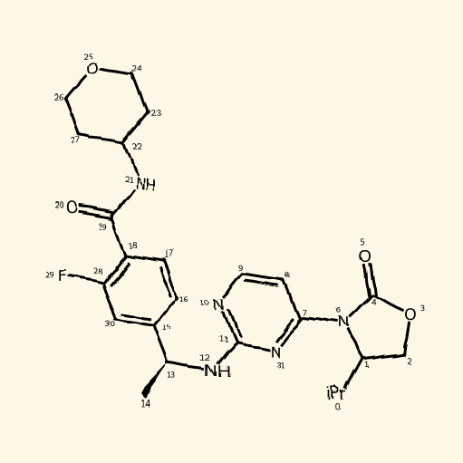 CC(C)C1COC(=O)N1c1ccnc(N[C@@H](C)c2ccc(C(=O)NC3CCOCC3)c(F)c2)n1